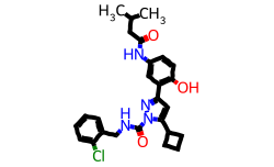 CC(C)CC(=O)Nc1ccc(O)c(-c2cc(C3CCC3)n(C(=O)NCc3ccccc3Cl)n2)c1